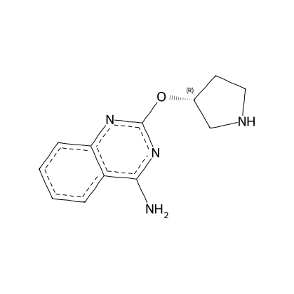 Nc1nc(O[C@@H]2CCNC2)nc2ccccc12